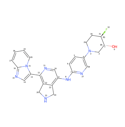 O[C@@H]1CN(c2ccc(Nc3cnc(-c4cnc5ccccn45)c4c3CNC4)nc2)CC[C@H]1F